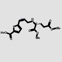 COC(=O)c1ccc(/C=C\CN[C@H](CCC(=O)OC(C)(C)C)C(=O)OC(C)(C)C)s1